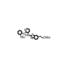 COCCc1ccc2nc(Nc3cccnc3Oc3ccccc3C(C)(C)C)sc2c1